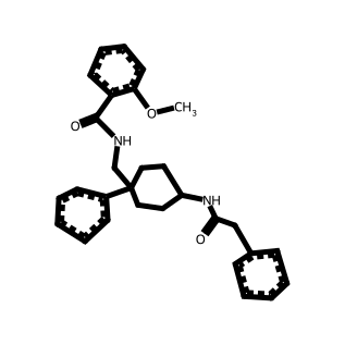 COc1ccccc1C(=O)NCC1(c2ccccc2)CCC(NC(=O)Cc2ccccc2)CC1